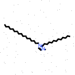 CCCCCCCCCCCCCCCCC[n+]1ccn(C)c1CCCCCCCCCCCC